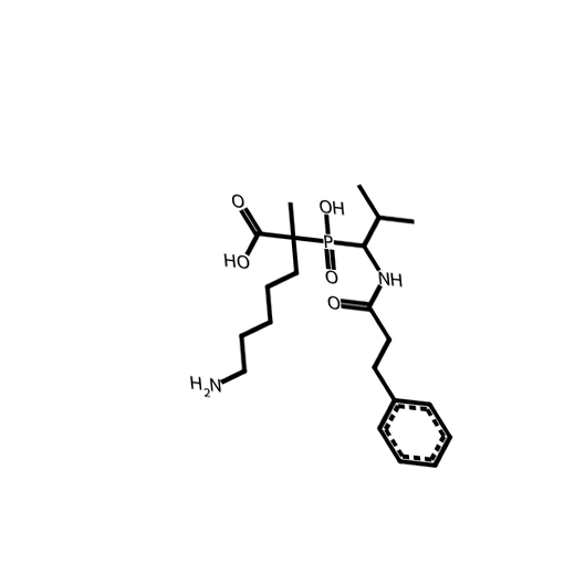 CC(C)C(NC(=O)CCc1ccccc1)P(=O)(O)C(C)(CCCCCN)C(=O)O